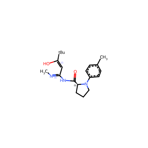 C/N=C(\C=C(/O)C(C)(C)C)NC(=O)[C@@H]1CCCN1c1ccc(C)cc1